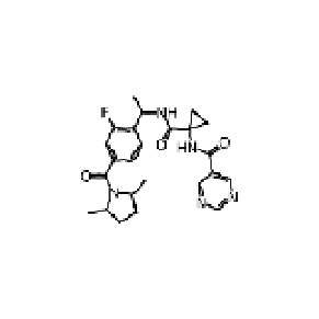 CC(NC(=O)C1(NC(=O)c2cncnc2)CC1)c1ccc(C(=O)N2C(C)CCC2C)cc1F